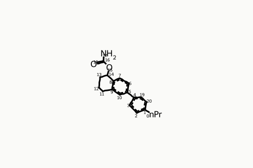 CCCc1ccc(-c2ccc3c(c2)CCCC3OC(N)=O)cc1